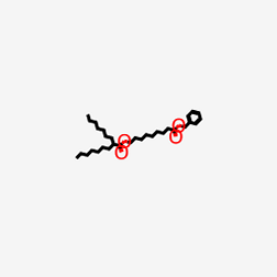 CCCCCCCC(CCCCCCC)C(=O)OCCCCCCCCC(=O)OCc1ccccc1